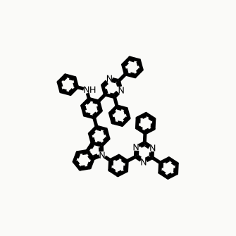 c1ccc(Nc2ccc(-c3ccc4c(c3)c3ccccc3n4-c3cccc(-c4nc(-c5ccccc5)nc(-c5ccccc5)n4)c3)cc2-c2cnc(-c3ccccc3)nc2-c2ccccc2)cc1